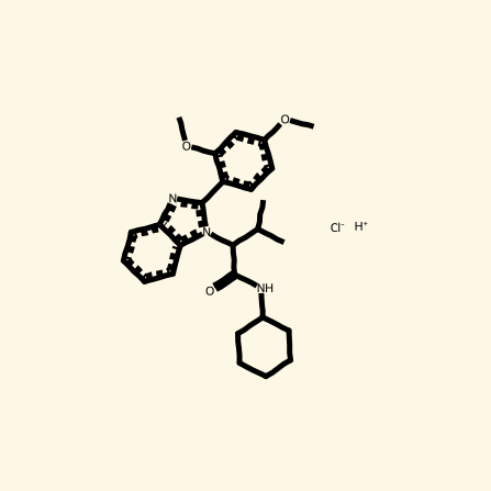 COc1ccc(-c2nc3ccccc3n2C(C(=O)NC2CCCCC2)C(C)C)c(OC)c1.[Cl-].[H+]